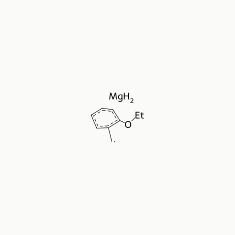 [CH2]c1ccccc1OCC.[MgH2]